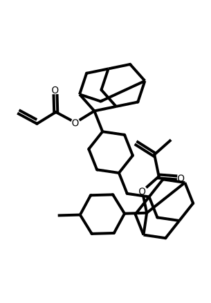 C=CC(=O)OC1(C2CCC(CC34CC5CC(C3)C(OC(=O)C(=C)C)(C3CCC(C)CC3)C(C5)C4)CC2)C2CC3CC(C2)CC1C3